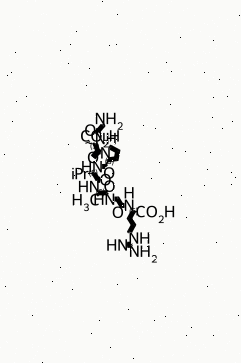 CC(C)[C@H](NC(=O)[C@@H]1CCCN1C(=O)[C@H](CC(=O)O)NC(=O)CN)C(=O)N[C@@H](C)C(=O)NCC(=O)N[C@@H](CCCNC(=N)N)C(=O)O